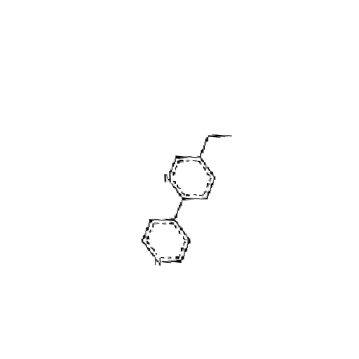 CCc1ccc(-c2ccncc2)nc1